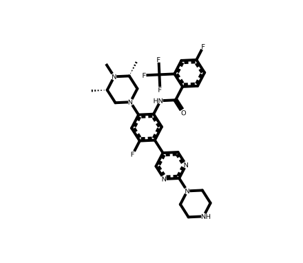 C[C@@H]1CN(c2cc(F)c(-c3cnc(N4CCNCC4)nc3)cc2NC(=O)c2ccc(F)cc2C(F)(F)F)C[C@H](C)N1C